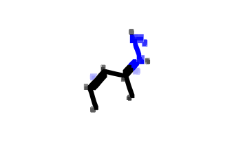 C/C=C\C(C)=N/N